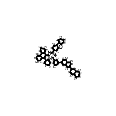 c1ccc(-c2c(-c3nc(-c4cccc(-c5ccc6ccc(-c7ccc8ccccc8c7)cc6c5)c4)nc(-c4ccc5c(c4)oc4ccccc45)n3)c3ccccc3c3ccccc23)cc1